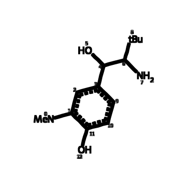 CNc1cc(C(O)C(N)C(C)(C)C)ccc1O